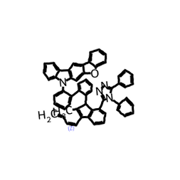 C=C/C=C\C1=C(C)C(c2ccccc2-c2ccccc2-n2c3ccccc3c3cc4c(cc32)oc2ccccc24)c2c1cccc2-c1nnc(-c2ccccc2)n1-c1ccccc1